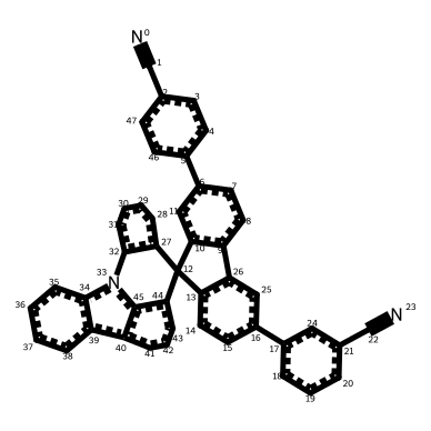 N#Cc1ccc(-c2ccc3c(c2)C2(c4ccc(-c5cccc(C#N)c5)cc4-3)c3ccccc3-n3c4ccccc4c4cccc2c43)cc1